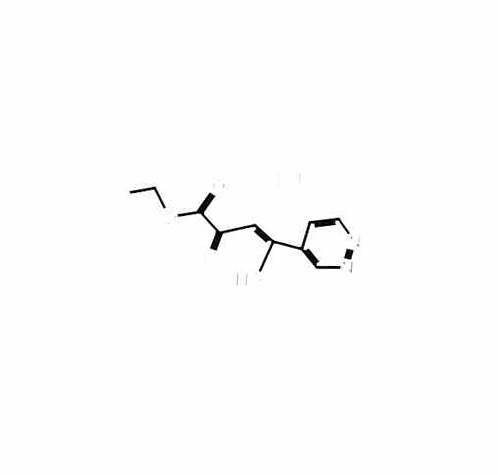 CCOC(=O)C(=O)C=C(O)c1ccnnc1.[LiH]